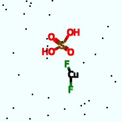 O=S(=O)(O)O.[F][Cu][F]